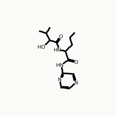 CCCC(NC(=O)C(O)C(C)C)C(=O)Nc1cnccn1